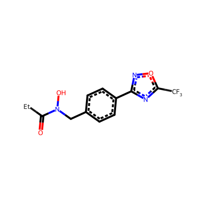 CCC(=O)N(O)Cc1ccc(-c2noc(C(F)(F)F)n2)cc1